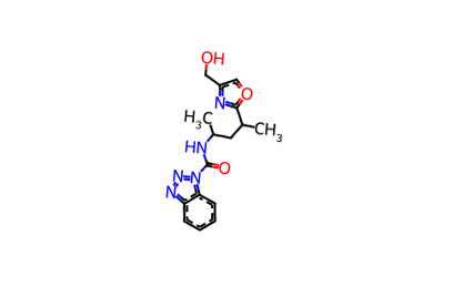 CC(CC(C)c1nc(CO)co1)NC(=O)n1nnc2ccccc21